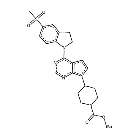 CC(C)(C)OC(=O)N1CCC(n2ccc3c(N4CCc5cc(S(C)(=O)=O)ccc54)ncnc32)CC1